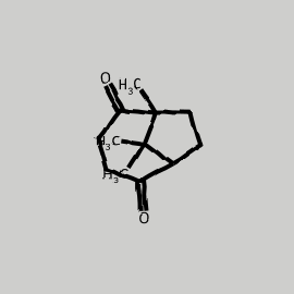 CC12CCC(C(=O)C[CH]C1=O)C2(C)C